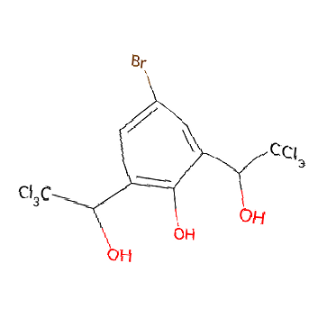 Oc1c(C(O)C(Cl)(Cl)Cl)cc(Br)cc1C(O)C(Cl)(Cl)Cl